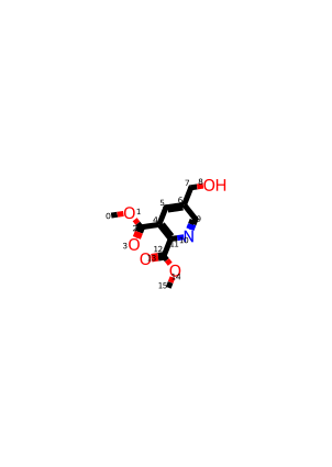 COC(=O)c1cc(CO)cnc1C(=O)OC